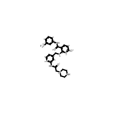 Cl.O=C(CN1CCNCC1)Nc1cc(CSc2ncccc2C(=O)Nc2cccc(C(F)(F)F)c2)ccn1